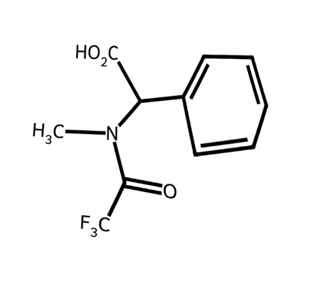 CN(C(=O)C(F)(F)F)C(C(=O)O)c1ccccc1